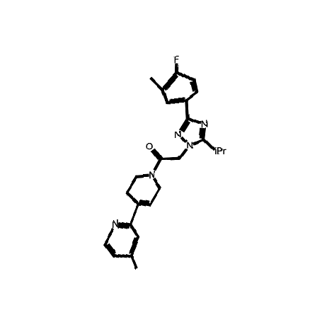 Cc1ccnc(C2=CCN(C(=O)Cn3nc(-c4ccc(F)c(C)c4)nc3C(C)C)CC2)c1